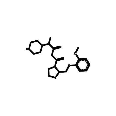 COc1ccccc1OCC1SCCN1C(=S)CC(=O)C(C)N1CCNCC1